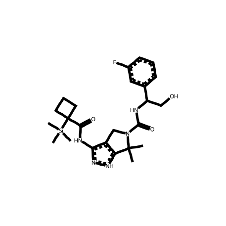 CC1(C)c2[nH]nc(NC(=O)C3([Si](C)(C)C)CCC3)c2CN1C(=O)NC(CO)c1cccc(F)c1